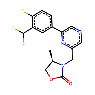 C[C@@H]1COC(=O)N1Cc1cncc(-c2ccc(F)c(C(F)F)c2)n1